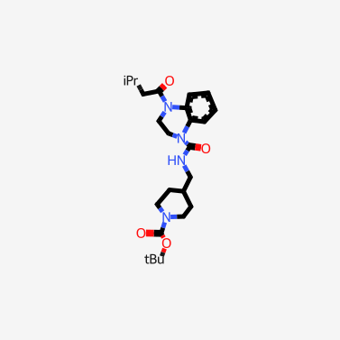 CC(C)CC(=O)N1CCN(C(=O)NCC2CCN(C(=O)OC(C)(C)C)CC2)c2ccccc21